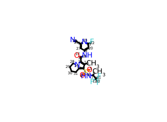 Cc1c(S(=O)(=O)NC(C)C(F)(F)F)c2n(c1C(=O)Nc1cc(F)nc(C#N)c1)CCCC2